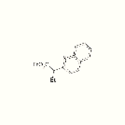 CCOC(=O)C(CC)c1ccc2ccccc2n1